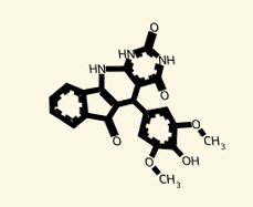 COc1cc(C2C3=C(Nc4[nH]c(=O)[nH]c(=O)c42)c2ccccc2C3=O)cc(OC)c1O